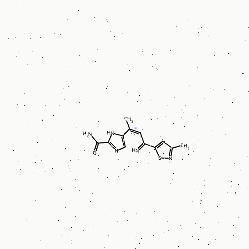 C/C(=C/C(=N)c1cc(C)ns1)c1cnc(C(N)=O)[nH]1